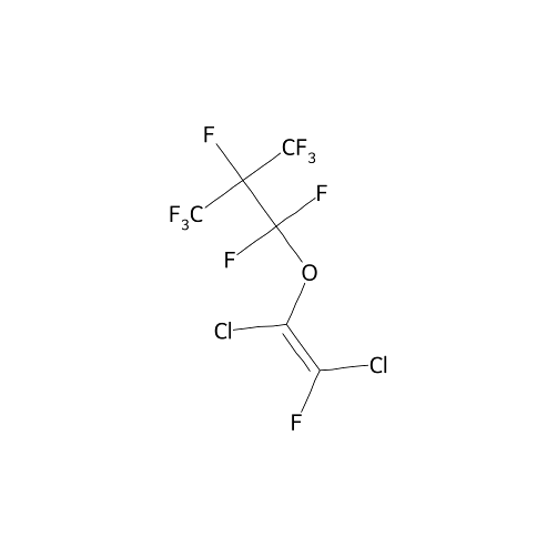 FC(Cl)=C(Cl)OC(F)(F)C(F)(C(F)(F)F)C(F)(F)F